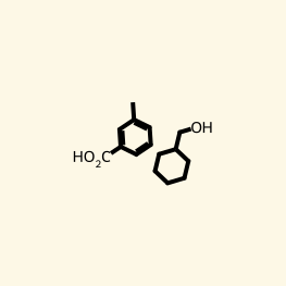 Cc1cccc(C(=O)O)c1.OCC1CCCCC1